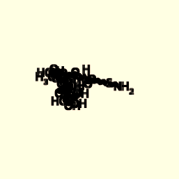 C[C@]1(C(=O)O)OC2C(O)[C@H](O[C@@H]3OC(CO)[C@H](O[C@H]4OC(CO)[C@H](O)C(O)C4O)C(O)C3O)C(COC(=O)NCCNC(=O)OCCCCCSCCN)O[C@@H]2O1